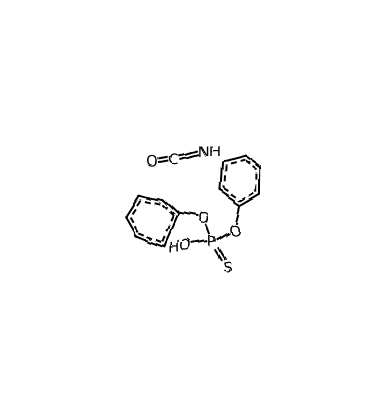 N=C=O.OP(=S)(Oc1ccccc1)Oc1ccccc1